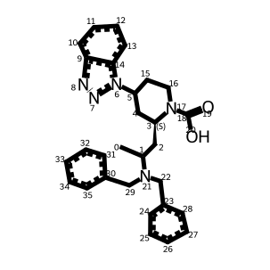 CC(C[C@H]1CC(n2nnc3ccccc32)CCN1C(=O)O)N(Cc1ccccc1)Cc1ccccc1